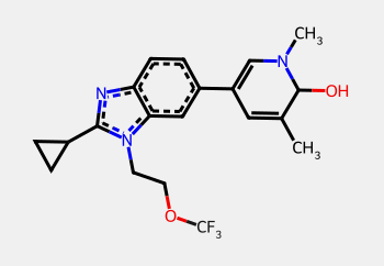 CC1=CC(c2ccc3nc(C4CC4)n(CCOC(F)(F)F)c3c2)=CN(C)C1O